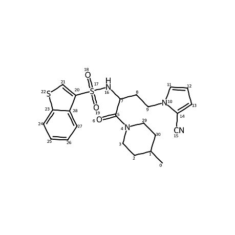 CC1CCN(C(=O)C(CCn2cccc2C#N)NS(=O)(=O)c2csc3ccccc23)CC1